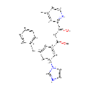 Cc1ccnc(C(=O)CC(=O)c2cc(Cc3ccccc3)cc(-n3ccnc3)c2)c1